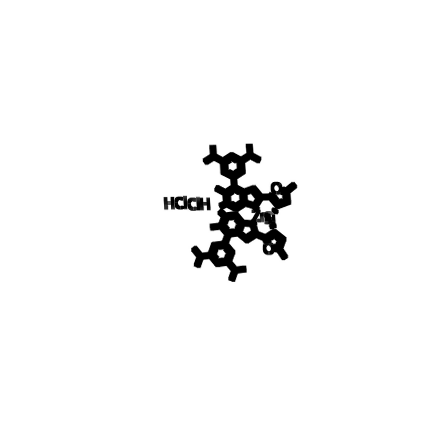 Cc1ccc(C2=Cc3c(cc(C)c(C)c3-c3cc(C(C)C)cc(C(C)C)c3)[CH]2[Zr]([CH]2C(c3ccc(C)o3)=Cc3c2cc(C)c(C)c3-c2cc(C(C)C)cc(C(C)C)c2)=[Si](C)C)o1.Cl.Cl